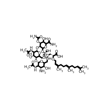 CC(=O)NC1[C@H](O[C@@H]2C(CO)O[C@@H](O[C@@H]3C(OP(=O)(O)OC[C@@H](OC/C=C(/C)CC/C=C(\C)CCC=C(C)C)C(=O)O)OC(C(N)=O)C(O)[C@@H]3OC(N)=O)C(NC(C)=O)[C@H]2O)OC(CO)[C@@H](O)[C@@H]1N